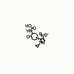 COC1CCN(c2c([N+](=O)[O-])cnn2C2CC2)CCC1NC(=O)O